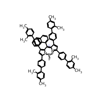 Cc1ccc(-c2ccc(C3=CC(c4ccc(-c5ccc(C)cc5C)cc4)=N/C3=C(/c3cccc4ccccc34)c3c(-c4ccc(-c5ccc(C)cc5C)cc4)cc(-c4ccc(-c5ccc(C)cc5C)cc4)n3B(F)F)cc2)c(C)c1